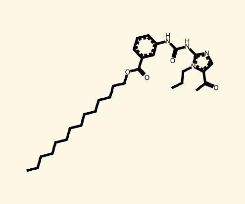 CCCCCCCCCCCCCCOC(=O)c1cccc(NC(=O)Nc2ncc(C(C)=O)n2CCC)c1